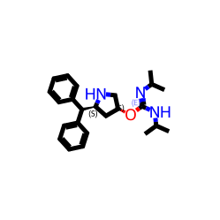 CC(C)/N=C(\NC(C)C)O[C@@H]1CN[C@H](C(c2ccccc2)c2ccccc2)C1